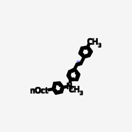 CCCCCCCCc1ccc(N(C)c2ccc(/C=C/c3ccc(C)cc3)cc2)cc1